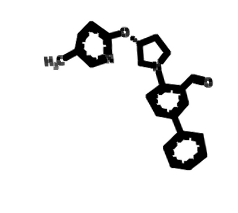 Cc1ccc(O[C@@H]2CCN(c3ccc(-c4ccccc4)cc3C=O)C2)nc1